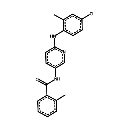 Cc1cc(Cl)ccc1Nc1ccc(NC(=O)c2ccccc2C)cn1